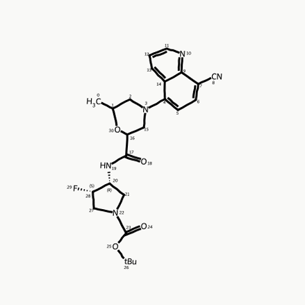 CC1CN(c2ccc(C#N)c3ncccc23)CC(C(=O)N[C@@H]2CN(C(=O)OC(C)(C)C)C[C@@H]2F)O1